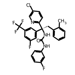 Cc1ccccc1C[C@](NC(=O)Nc1cccc(F)c1)(c1cc(F)cc(C(F)(F)F)c1)c1ccc(Cl)cn1